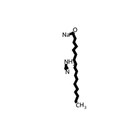 CCCCCCCCCCCCCCCCC[C](=O)[Na].N#CN